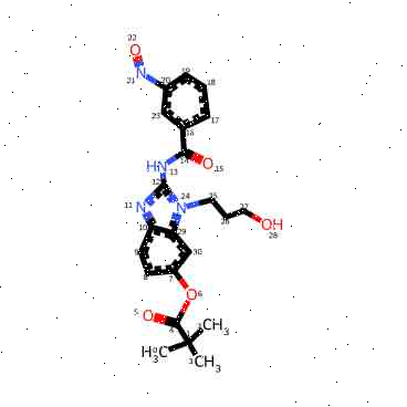 CC(C)(C)C(=O)Oc1ccc2nc(NC(=O)c3cccc(N=O)c3)n(CCCO)c2c1